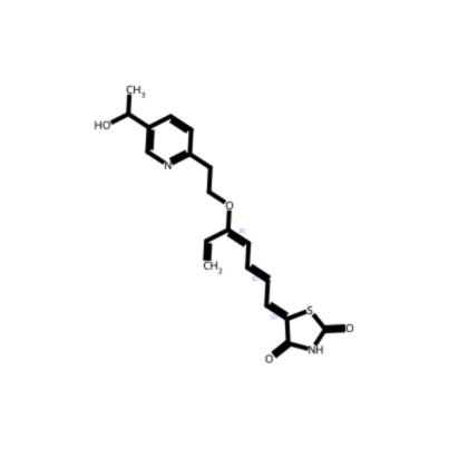 C=C\C(=C/C=C/C=C1\SC(=O)NC1=O)OCCc1ccc(C(C)O)cn1